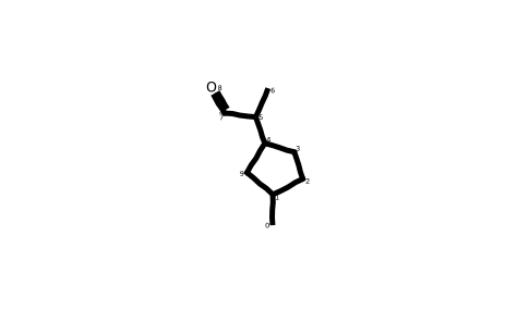 CC1CCC(C(C)[C]=O)C1